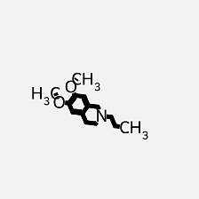 CCCN1CCc2cc(OC)c(OC)cc2C1